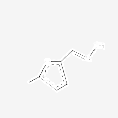 Cc1ccc(/C=N/O)o1